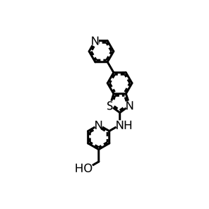 OCc1ccnc(Nc2nc3ccc(-c4ccncc4)cc3s2)c1